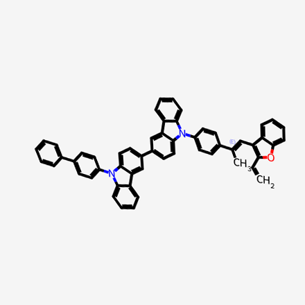 C=Cc1oc2ccccc2c1/C=C(\C)c1ccc(-n2c3ccccc3c3cc(-c4ccc5c(c4)c4ccccc4n5-c4ccc(-c5ccccc5)cc4)ccc32)cc1